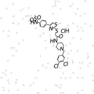 CS(=O)(=O)Nc1ccc(-c2csc(SCC(=O)NC3CCN(Cc4ccc(Cl)c(Cl)c4)CC3)n2)cc1.Cl